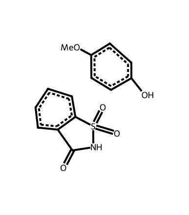 COc1ccc(O)cc1.O=C1NS(=O)(=O)c2ccccc21